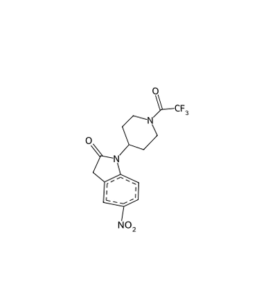 O=C1Cc2cc([N+](=O)[O-])ccc2N1C1CCN(C(=O)C(F)(F)F)CC1